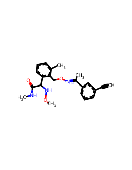 C#Cc1cccc(/C(C)=N/OCc2c(C)cccc2C(NOC)C(=O)NC)c1